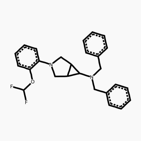 FC(F)Oc1ccccc1N1CC2C(C1)C2N(Cc1ccccc1)Cc1ccccc1